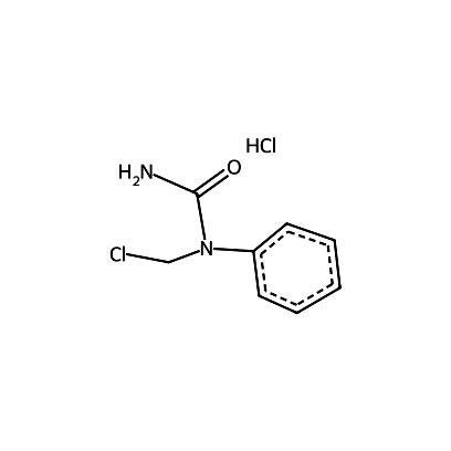 Cl.NC(=O)N(CCl)c1ccccc1